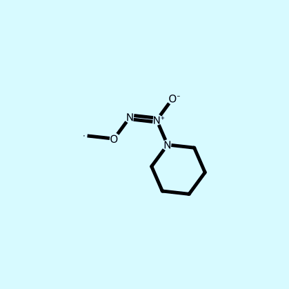 [CH2]O/N=[N+](/[O-])N1CCCCC1